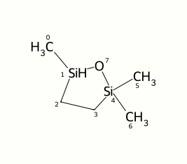 C[SiH]1CC[Si](C)(C)O1